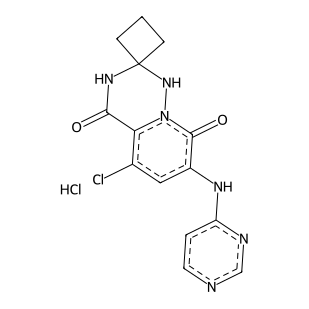 Cl.O=C1NC2(CCC2)Nn2c1c(Cl)cc(Nc1ccncn1)c2=O